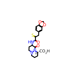 O=C(NC1CCN2CCC[C@@H](C(=O)O)N2C1=O)C(=S)Cc1ccc2c(c1)OCO2